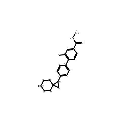 Cc1cc(C(=O)OC(C)(C)C)ccc1-c1ccc(C2CC23CCNCC3)cc1